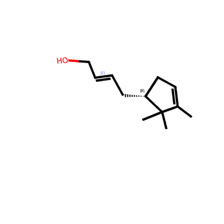 CC1=CC[C@@H](C/C=C/CO)C1(C)C